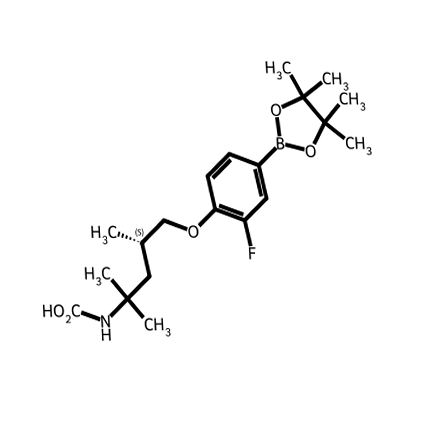 C[C@H](COc1ccc(B2OC(C)(C)C(C)(C)O2)cc1F)CC(C)(C)NC(=O)O